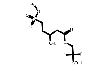 CC(CCS(=O)(=O)OC(C)C)CC(=O)OCC(F)(F)S(=O)(=O)O